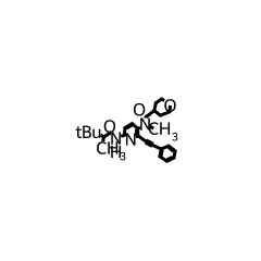 CC(C(=O)Nc1ccc(N(C)C(=O)C2CCOCC2)c(C#Cc2ccccc2)n1)C(C)(C)C